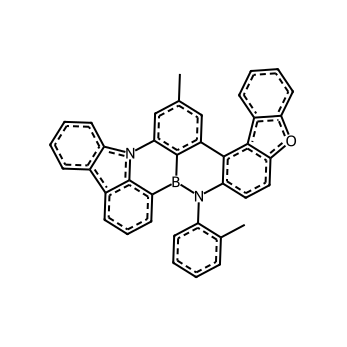 Cc1cc2c3c(c1)-n1c4ccccc4c4cccc(c41)B3N(c1ccccc1C)c1ccc3oc4ccccc4c3c1-2